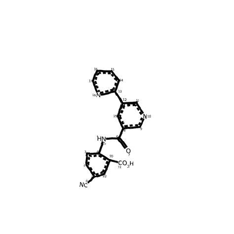 N#Cc1ccc(NC(=O)c2cncc(-c3ccccn3)c2)c(C(=O)O)c1